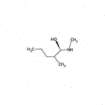 CCCC(C)[C@@H](O)NC